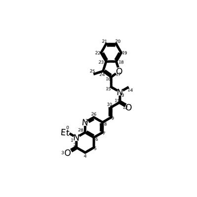 CCN1C(=O)CCc2cc(/C=C/C(=O)N(C)Cc3oc4ccccc4c3C)cnc21